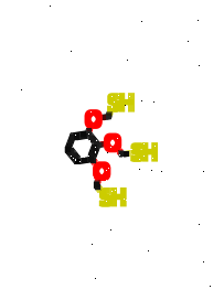 SCOc1cccc(OCS)c1OCS